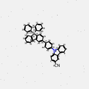 N#Cc1ccc2c(c1)c1ccccc1n2-c1ccc(-c2ccc([Si](c3ccccc3)(c3ccccc3)c3ccccc3)c(C#N)c2)cc1